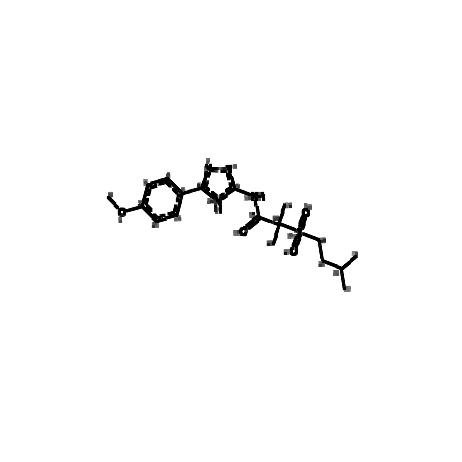 COc1ccc(-c2nnc(NC(=O)C(C)(C)S(=O)(=O)CCC(C)C)[nH]2)cc1